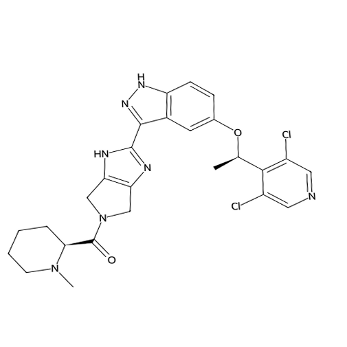 C[C@@H](Oc1ccc2[nH]nc(-c3nc4c([nH]3)CN(C(=O)[C@@H]3CCCCN3C)C4)c2c1)c1c(Cl)cncc1Cl